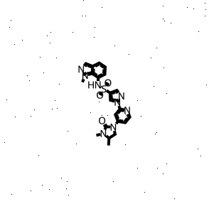 CC1CN(c2ccnc(-n3cc(S(=O)(=O)Nc4cccc5cnn(C)c45)cn3)c2)C(=O)N1C